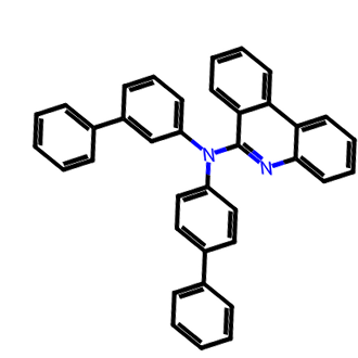 c1ccc(-c2ccc(N(c3cccc(-c4ccccc4)c3)c3nc4ccccc4c4ccccc34)cc2)cc1